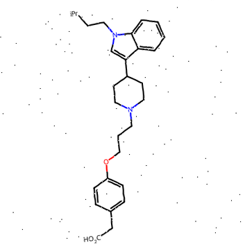 CC(C)CCn1cc(C2CCN(CCCOc3ccc(CC(=O)O)cc3)CC2)c2ccccc21